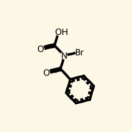 O=C(O)N(Br)C(=O)c1ccccc1